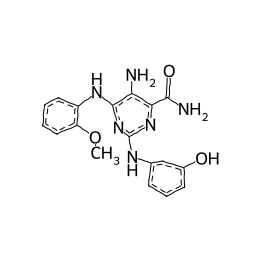 COc1ccccc1Nc1nc(Nc2cccc(O)c2)nc(C(N)=O)c1N